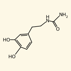 NC(=O)NCCc1ccc(O)c(O)c1